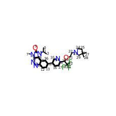 CC(C)n1c(=O)n(C)c2nnc3ccc(-c4ccc(C(OCCN5CCC(C)(C)C5)C(F)(F)F)nc4)cc3c21